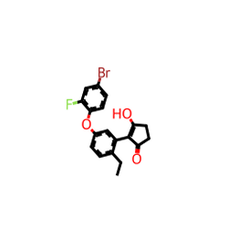 CCc1ccc(Oc2ccc(Br)cc2F)cc1C1=C(O)CCC1=O